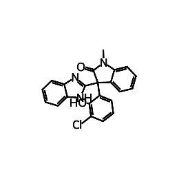 CN1C(=O)C(c2nc3ccccc3[nH]2)(c2cccc(Cl)c2O)c2ccccc21